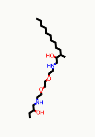 CCCCCCCCCCC(C)C(O)CNCCOCCOCCNCC(O)CC